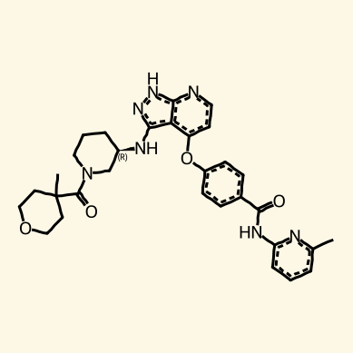 Cc1cccc(NC(=O)c2ccc(Oc3ccnc4[nH]nc(N[C@@H]5CCCN(C(=O)C6(C)CCOCC6)C5)c34)cc2)n1